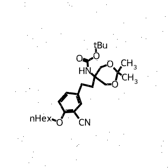 CCCCCCOc1ccc(CCC2(NC(=O)OC(C)(C)C)COC(C)(C)OC2)cc1C#N